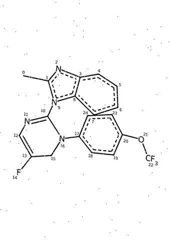 Cc1nc2ccccc2n1C1=NC=C(F)CN1c1ccc(OC(F)(F)F)cc1